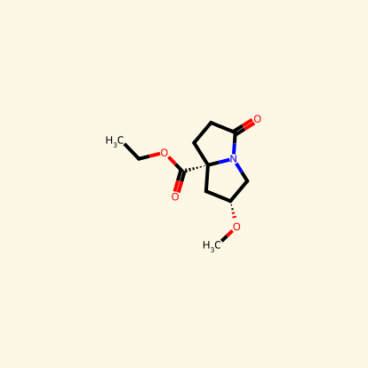 CCOC(=O)[C@]12CCC(=O)N1C[C@H](OC)C2